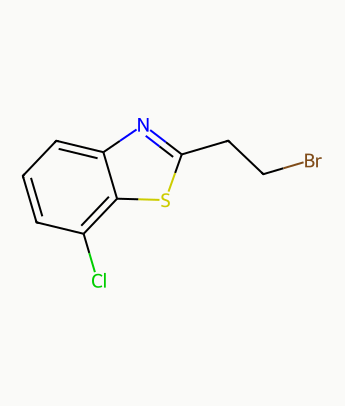 Clc1cccc2nc(CCBr)sc12